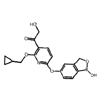 O=C(CO)c1ccc(Oc2ccc3c(c2)COB3O)nc1OCC1CC1